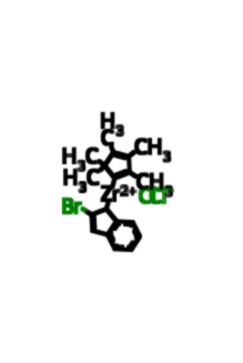 CC1=C(C)C(C)(C)[C]([Zr+2][CH]2C(Br)=Cc3ccccc32)=C1C.[Cl-].[Cl-]